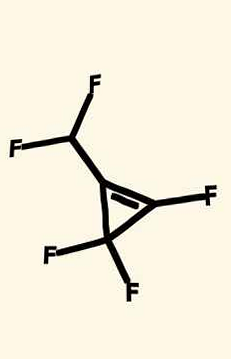 FC1=C(C(F)F)C1(F)F